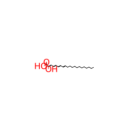 CCCCCCCCCCCCC=CC=CC=CC=C(O)C(=O)O